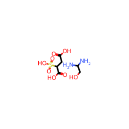 NC(N)CO.O=C(O)CC(C(=O)O)S(=O)(=O)O